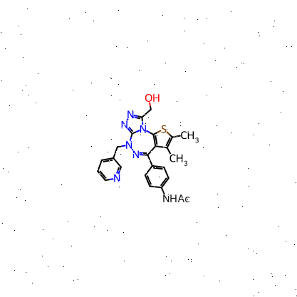 CC(=O)Nc1ccc(C2=NN(Cc3cccnc3)c3nnc(CO)n3-c3sc(C)c(C)c32)cc1